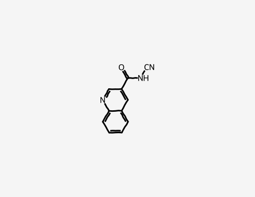 N#CNC(=O)c1cnc2ccccc2c1